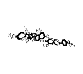 COc1ccc(C2OCC3(CO2)CC(O)C(O)[C@H](O[C@H]2CC[C@@]4(C)C(=CC[C@H]5[C@@H]6C[C@@H]7O[C@]8(CC[C@@H](C)CO8)[C@@H](C)[C@@H]7[C@@]6(C)CC[C@@H]54)C2)O3)cc1